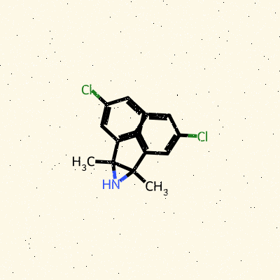 CC1(c2cccc(Cl)c2)NC1(C)c1cccc(Cl)c1